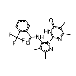 Cc1nn(-c2nc(C)c(C)c(=O)[nH]2)c(NC(=O)c2ccccc2C(F)(F)F)c1C